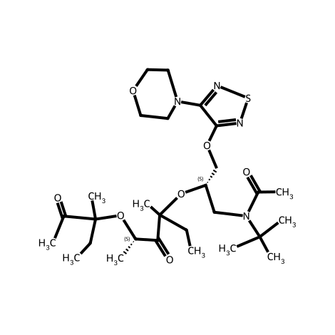 CCC(C)(O[C@@H](C)C(=O)C(C)(CC)O[C@H](COc1nsnc1N1CCOCC1)CN(C(C)=O)C(C)(C)C)C(C)=O